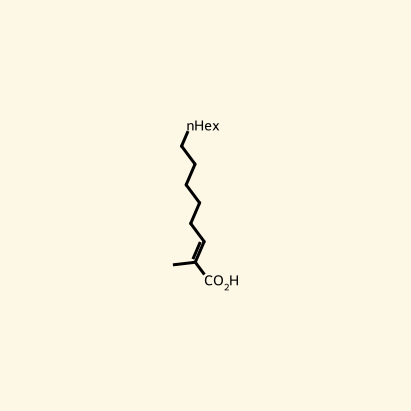 CCCCCCCCCCC/C=C(\C)C(=O)O